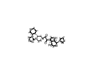 O=C(C(=O)N1CCN(c2nnnn2-c2cccnc2)CC1)c1c[nH]c2c(-n3ccnn3)ncc(F)c12